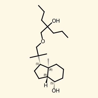 CCCC(O)(CCC)COCC(C)(C)[C@H]1CC[C@H]2[C@@H](O)CCC[C@]12C